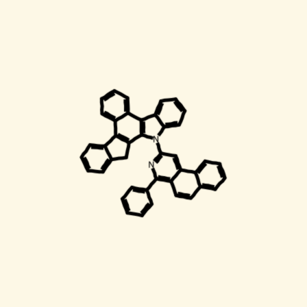 c1ccc(-c2nc(-n3c4ccccc4c4c5ccccc5c5c(c43)Cc3ccccc3-5)cc3c2ccc2ccccc23)cc1